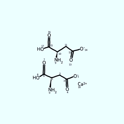 N[C@H](CC(=O)[O-])C(=O)O.N[C@H](CC(=O)[O-])C(=O)O.[Ca+2]